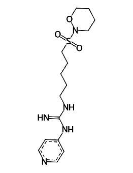 N=C(NCCCCCS(=O)(=O)N1CCCCO1)Nc1ccncc1